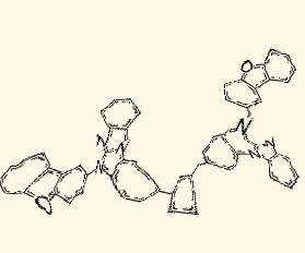 c1cc(-c2ccc3c(c2)n2c4ccccc4nc2n3-c2ccc3oc4ccccc4c3c2)cc(-c2ccc3c(c2)n2c4ccccc4nc2n3-c2ccc3oc4ccccc4c3c2)c1